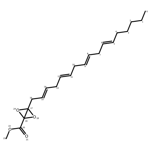 CCCCCC=CCC=CCC=CCC=CCC12OC1(C(=O)OC)O2